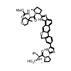 COC(=O)N[C@H](C(=O)N1[C@@H](C)CC[C@H]1c1nc2ccc3cc4c(cc3c2[nH]1)OCc1cc(-c2cnc([C@@H]3CC[C@H](C)N3C(=O)[C@@H](NC(=O)O)C(C)C)[nH]2)ccc1-4)C1(C)CCOCC1